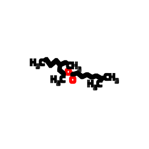 CCCCC(CC)CC(C)OC(=O)CCCCCC(C)C